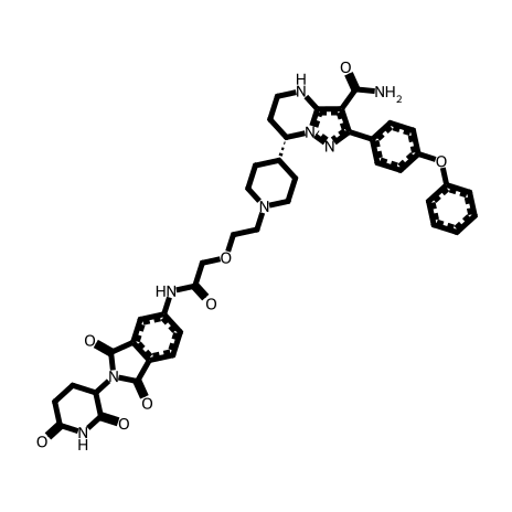 NC(=O)c1c(-c2ccc(Oc3ccccc3)cc2)nn2c1NCC[C@H]2C1CCN(CCOCC(=O)Nc2ccc3c(c2)C(=O)N(C2CCC(=O)NC2=O)C3=O)CC1